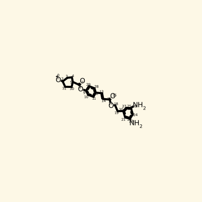 COC1CCC(C(=O)Oc2ccc(/C=C/C(=O)OCCc3cc(N)cc(N)c3)cc2)CC1